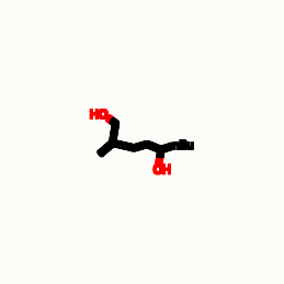 CCCCC(O)CCC(C)CO